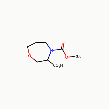 CC(C)(C)OC(=O)N1CCCOCC1C(=O)O